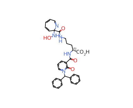 O=C(N[C@@H](CCCNC(=O)C1(NO)C=CC=CC=N1)C(=O)O)c1cccn(C(c2ccccc2)c2ccccc2)c1=O